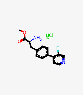 COC(=O)[C@@H](N)Cc1ccc(-c2ccncc2F)cc1.Cl.Cl